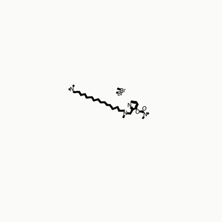 CBr.CBr.CN(C)CCCCCCCCCCCCCCCCN(C)Cc1ncccc1OC(=O)N(C)C